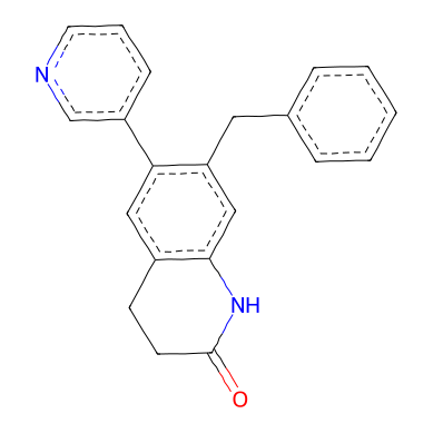 O=C1CCc2cc(-c3cccnc3)c(Cc3ccccc3)cc2N1